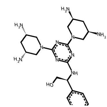 N[C@@H]1C[C@H](N)CN(c2nc(N[C@H](CO)c3ccccc3)nc(N3C[C@H](N)C[C@H](N)C3)n2)C1